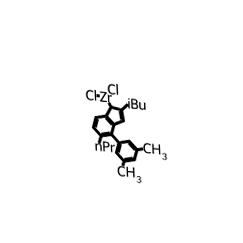 CCCc1ccc2c(c1-c1cc(C)cc(C)c1)C=C(C(C)CC)[CH]2[Zr]([Cl])[Cl]